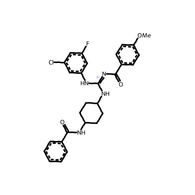 COc1ccc(C(=O)/N=C(/Nc2cc(F)cc(Cl)c2)NC2CCC(NC(=O)c3ccccc3)CC2)cc1